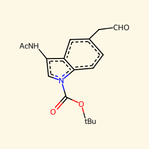 CC(=O)Nc1cn(C(=O)OC(C)(C)C)c2ccc(CC=O)cc12